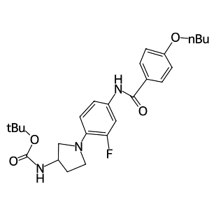 CCCCOc1ccc(C(=O)Nc2ccc(N3CCC(NC(=O)OC(C)(C)C)C3)c(F)c2)cc1